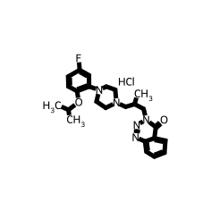 CC(CN1CCN(c2cc(F)ccc2OC(C)C)CC1)Cn1nnc2ccccc2c1=O.Cl